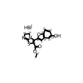 Br.CCOC(=O)C1=C(c2cc3cc(O)ccc3o2)N2CCN=C2S1